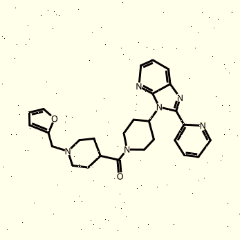 O=C(C1CCN(Cc2ccco2)CC1)N1CCC(n2c(-c3ccccn3)nc3cccnc32)CC1